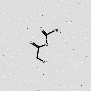 CC(=O)CC(=O)OC(N)=O